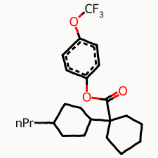 CCCC1CCC(C2(C(=O)Oc3ccc(OC(F)(F)F)cc3)CCCCC2)CC1